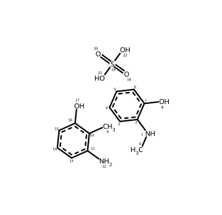 CNc1ccccc1O.Cc1c(N)cccc1O.O=S(=O)(O)O